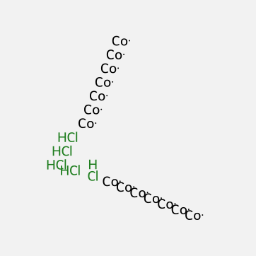 Cl.Cl.Cl.Cl.Cl.[Co].[Co].[Co].[Co].[Co].[Co].[Co].[Co].[Co].[Co].[Co].[Co].[Co].[Co]